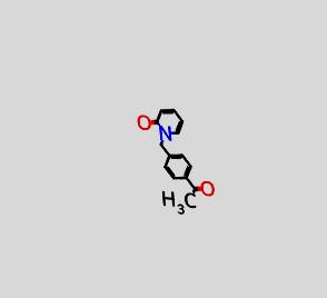 CC(=O)c1ccc(Cn2ccccc2=O)cc1